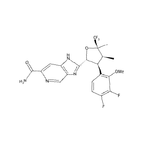 COc1c([C@H]2[C@H](c3nc4cnc(C(N)=O)cc4[nH]3)O[C@@](C)(C(F)(F)F)[C@H]2C)ccc(F)c1F